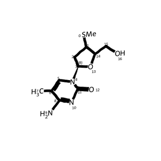 CSC1C[C@H](n2cc(C)c(N)nc2=O)OC1CO